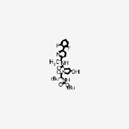 C[C@H](NC(=O)[C@@H]1C[C@@H](O)CN1C(=O)[C@@H](NC(=O)OC(C)(C)C)C(C)(C)C)c1ccc(-c2c(F)cccc2F)cn1